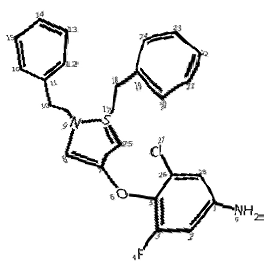 Nc1cc(F)c(OC2=CN(Cc3ccccc3)S(Cc3ccccc3)=C2)c(Cl)c1